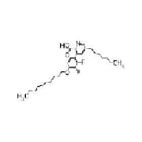 CCCCCCCCCCOc1ccc(-c2cc(CCCCCCC)cnc2C(=O)O)c(F)c1F